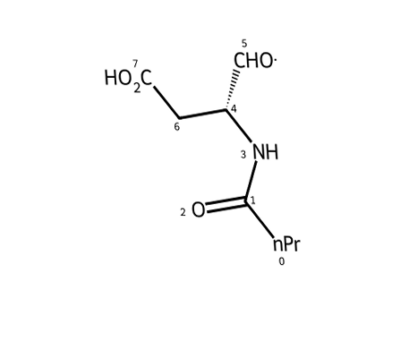 CCCC(=O)N[C@@H]([C]=O)CC(=O)O